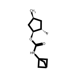 C[C@@H]1C[C@H](OC(=O)NC23CC(C2)C3)[C@@H](F)C1